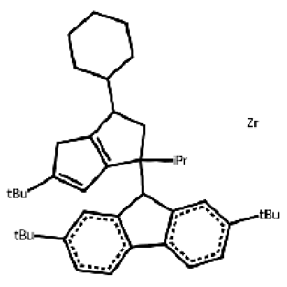 CC(C)C1(C2c3cc(C(C)(C)C)ccc3-c3ccc(C(C)(C)C)cc32)CC(C2CCCCC2)C2=C1C=C(C(C)(C)C)C2.[Zr]